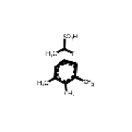 CC(F)S(=O)(=O)O.Cc1cccc(C)c1C